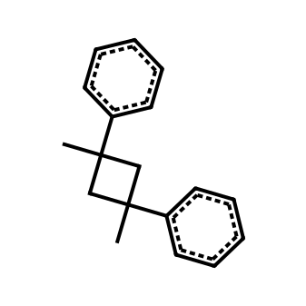 CC1(c2ccccc2)CC(C)(c2ccccc2)C1